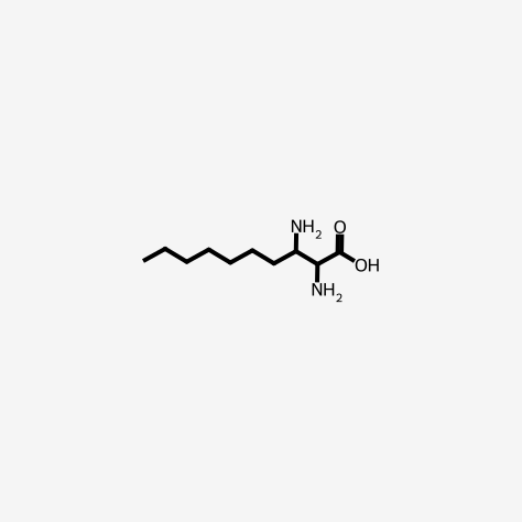 CCCCCCCC(N)C(N)C(=O)O